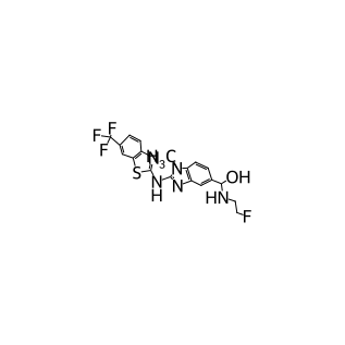 Cn1c(Nc2nc3ccc(C(F)(F)F)cc3s2)nc2cc(C(O)NCCF)ccc21